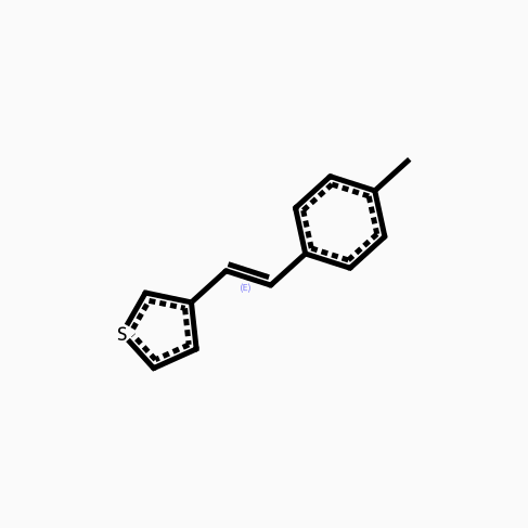 Cc1ccc(/C=C/c2ccsc2)cc1